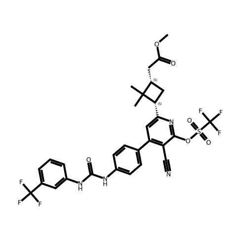 COC(=O)C[C@@H]1C[C@H](c2cc(-c3ccc(NC(=O)Nc4cccc(C(F)(F)F)c4)cc3)c(C#N)c(OS(=O)(=O)C(F)(F)F)n2)C1(C)C